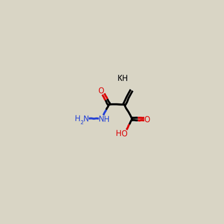 C=C(C(=O)O)C(=O)NN.[KH]